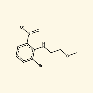 COCCNc1c(Br)cccc1[N+](=O)[O-]